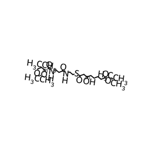 CC(C)(C)OC(=O)CCCC[C@@H](O)CC(=O)SCCNC(=O)CCNC(=O)[C@@H]1OC(C)(C)OCC1(C)C